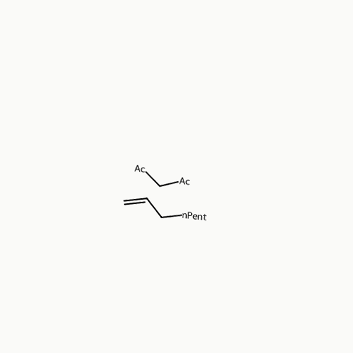 C=CCCCCCC.CC(=O)CC(C)=O